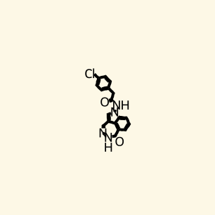 O=C(Cc1ccc(Cl)cc1)Nn1cc2c3c(cccc31)C(=O)NN=C2